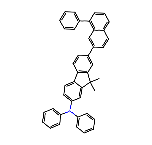 CC1(C)c2cc(-c3ccc4cccc(-c5ccccc5)c4c3)ccc2-c2ccc(N(c3ccccc3)c3ccccc3)cc21